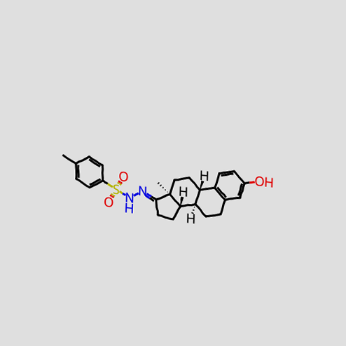 Cc1ccc(S(=O)(=O)NN=C2CC[C@H]3[C@@H]4CCc5cc(O)ccc5[C@H]4CC[C@]23C)cc1